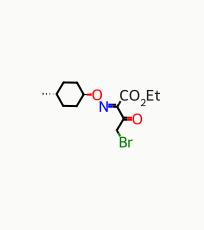 CCOC(=O)/C(=N\O[C@H]1CC[C@H](C)CC1)C(=O)CBr